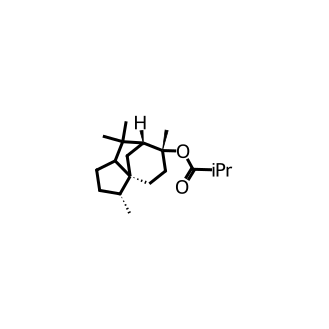 CC(C)C(=O)O[C@]1(C)CC[C@@]23C[C@@H]1C(C)(C)C2CC[C@H]3C